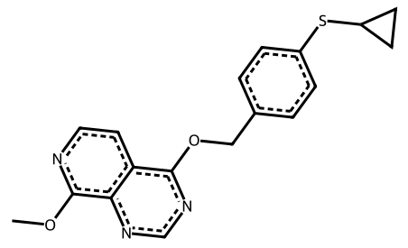 COc1nccc2c(OCc3ccc(SC4CC4)cc3)ncnc12